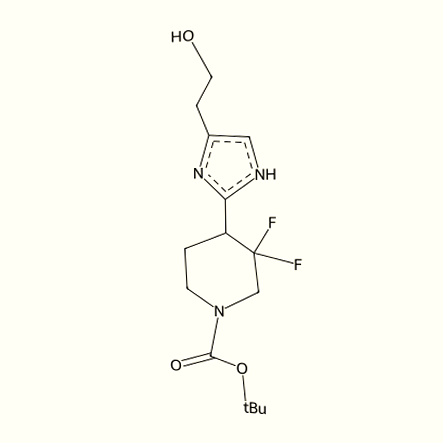 CC(C)(C)OC(=O)N1CCC(c2nc(CCO)c[nH]2)C(F)(F)C1